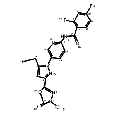 Cn1nc(-c2cc(CF)n(-c3ccc(NC(=O)c4ccc(F)cc4F)nc3)n2)oc1=O